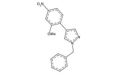 COc1cc([N+](=O)[O-])ccc1-c1cnn(Cc2ccccc2)c1